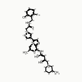 Cc1cn2c(-c3cnn(CC(=O)NCc4c(F)cccc4Cl)c3)cnc2c(N/C(S)=C/C(=N)CN2CCCC(C)C2)n1